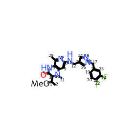 COC(C)C1C(=O)Nc2c(cc(NCc3cnn(Cc4ccc(F)c(F)c4)c3)nc2C)N1C